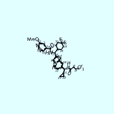 COc1cc(C(=O)N[C@H](c2cn3ncc([C@H](NC(=O)CCC(F)(F)F)C4CC4)cc3n2)C2CCC(F)(F)CC2)cnn1